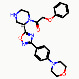 O=C(COc1ccccc1)N1CCNC[C@@H]1c1nc(-c2ccc(N3CCOCC3)cc2)no1